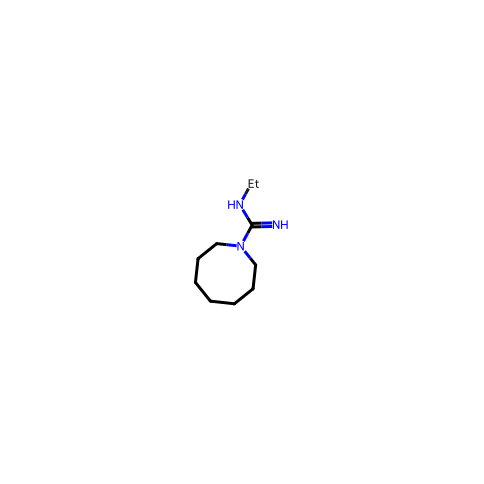 CCNC(=N)N1CCCCCCC1